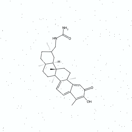 CC1=C(O)C(=O)C=C2C1=CC=C1[C@@]2(C)CC[C@@]2(C)[C@@H]3C[C@](C)(CNC(N)=O)CC[C@]3(C)CC[C@]12C